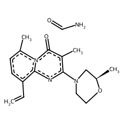 C=Cc1ccc(C)n2c(=O)c(C)c(N3CCO[C@H](C)C3)nc12.NC=O